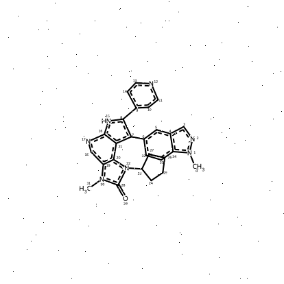 Cn1ncc2cc(-c3c(-c4ccncc4)[nH]c4ncc5c(c34)n(C3CCCC3)c(=O)n5C)ccc21